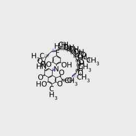 CO[C@H]1/C=C/O[C@@]2(C)Oc3c(C)c(O)c4c(c3C2=O)/C(=N/c2c(O)cc(F)cc2O)C=C(NC(=O)/C(C)=C\C=C\[C@H](C)[C@H](O)[C@@H](C)[C@@H](O)[C@@H](C)[C@H](OC(C)=O)[C@@H]1C)C4=O